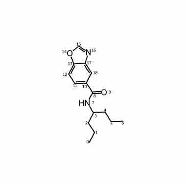 CCCC(CCC)NC(=O)c1ccc2ocnc2c1